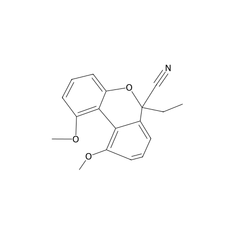 CCC1(C#N)Oc2cccc(OC)c2-c2c(OC)cccc21